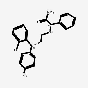 CNC(=O)[C@H](NCC[C@H](c1ccc(C(F)(F)F)cc1)c1ccccc1Cl)c1ccccc1